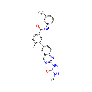 CCNC(=O)Nc1ncc2cc(-c3cc(C(=O)Nc4cccc(C(F)(F)F)c4)ccc3C)ccc2n1